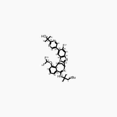 CC(C)(C)CC(C)(C)NC1=NC2CC(c3c(OC(F)F)cccc31)n1c2nc2cc(F)c(-c3cnc(C(C)(C)O)nc3)cc21